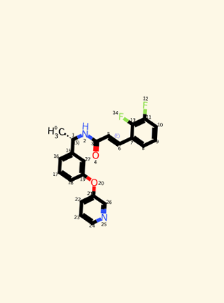 C[C@H](NC(=O)/C=C/c1cccc(F)c1F)c1cccc(Oc2cccnc2)c1